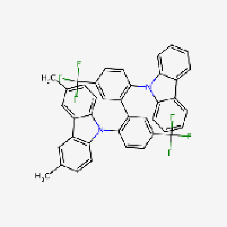 Cc1ccc2c(c1)c1cc(C)ccc1n2-c1ccc(C(F)(F)F)cc1-c1cc(C(F)(F)F)ccc1-n1c2ccccc2c2ccccc21